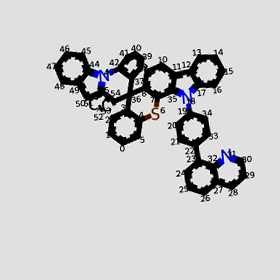 c1ccc2c(c1)Sc1c(ccc3c4ccccc4n(-c4ccc(-c5cccc6cccnc56)cc4)c13)C21c2ccccc2-n2c3ccccc3c3cccc1c32